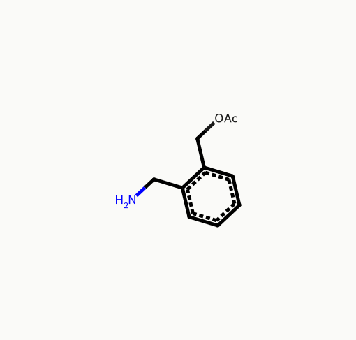 CC(=O)OCc1ccccc1CN